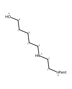 CCCCCCCNCCCCCO